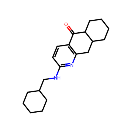 O=C1c2ccc(NCC3CCCCC3)nc2CC2CCCCC12